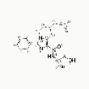 CC(C)(C)[C@@H](CO)NC(=O)c1nc(-c2ccccc2)n2c1CN(CC1CC1)CC2